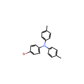 Cc1ccc(N(c2ccc(C)cc2)c2ccc(Br)cc2)cc1